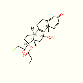 CCC(=O)O[C@]1(C(=O)CF)CC[C@H]2C3=C([C@@H](O)C[C@@]21C)[C@@]1(C)C=CC(=O)C=C1CC3